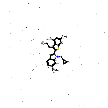 COc1ccc2cc(-c3sc4cc(C=O)cc(OC)c4c3CCO)n(CC3CC3)c2c1